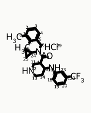 Cc1cccc(CN(C(=O)C2CNCCC2Nc2cccc(C(F)(F)F)c2)C2CC2)c1C.Cl